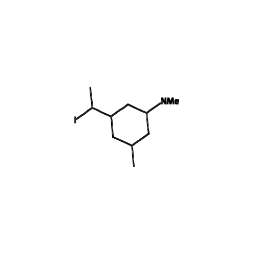 CNC1CC(C)CC(C(C)I)C1